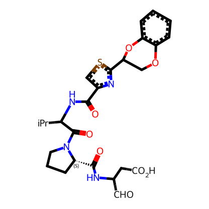 CC(C)C(NC(=O)c1csc(C2COc3ccccc3O2)n1)C(=O)N1CCC[C@H]1C(=O)NC(C=O)CC(=O)O